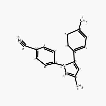 CC1=CC=C(c2cc(N)nn2-c2ccc(C#N)cc2)CC1